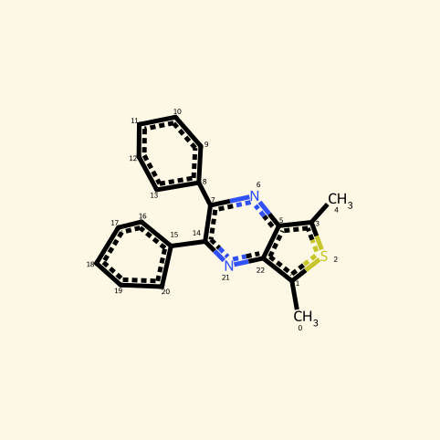 Cc1sc(C)c2nc(-c3ccccc3)c(-c3ccccc3)nc12